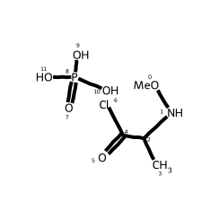 CONC(C)C(=O)Cl.O=P(O)(O)O